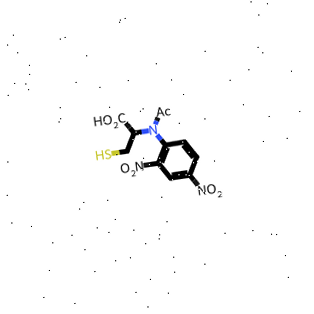 CC(=O)N(c1ccc([N+](=O)[O-])cc1[N+](=O)[O-])C(CS)C(=O)O